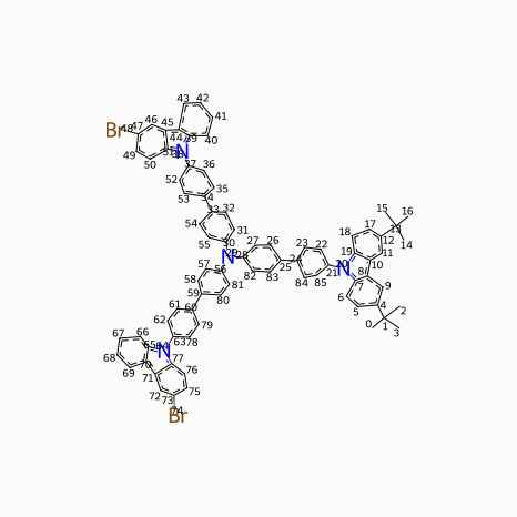 CC(C)(C)c1ccc2c(c1)c1cc(C(C)(C)C)ccc1n2-c1ccc(-c2ccc(N(c3ccc(-c4ccc(-n5c6ccccc6c6cc(Br)ccc65)cc4)cc3)c3ccc(-c4ccc(-n5c6ccccc6c6cc(Br)ccc65)cc4)cc3)cc2)cc1